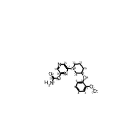 CCOc1ccccc1OC1CCCN(c2cncc(OC(N)=O)n2)C1